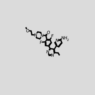 CCc1ncnc(-c2cc(F)c(C(=O)N3CCN(CCOC)CC3)c(F)c2)c1-c1ccc(N)nc1